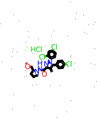 COCC1CCCN1NC(=O)C1=NN(c2ccc(Cl)cc2Cl)C(c2ccc(Cl)cc2)C1C.Cl